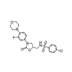 O=C1OC(CNS(=O)(=O)c2ccc(Cl)cc2)CN1c1ccc(N2CCOCC2)c(F)c1